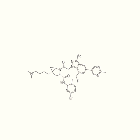 CC(=O)c1nn(CC(=O)N2C3C[C@]3(CCCCN(C)C)C[C@H]2C(=O)Nc2nc(Br)ccc2C)c2c(CF)cc(-c3cnc(C)nc3)cc12